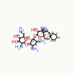 NCC1O[C@H](OC2C(N)CC(N)[C@@H](O[C@@H]3OC4COC5(CCCCC5)CC[C@@H]4C(N)[C@@H]3O)[C@H]2O)[C@@H](N)C(O)[C@@H]1O